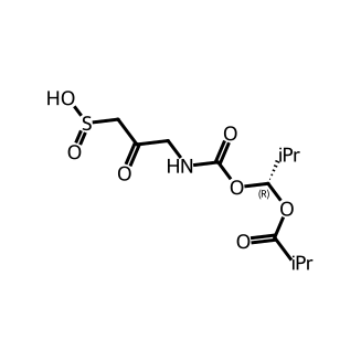 CC(C)C(=O)O[C@H](OC(=O)NCC(=O)CS(=O)O)C(C)C